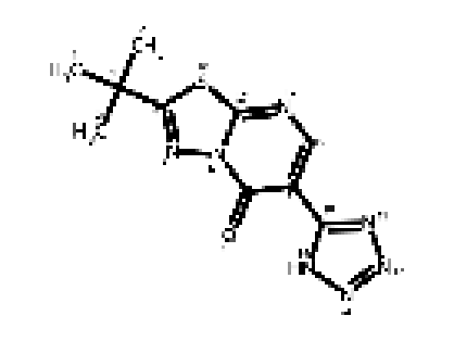 CC(C)(C)c1nn2c(=O)c(-c3nnn[nH]3)cnc2s1